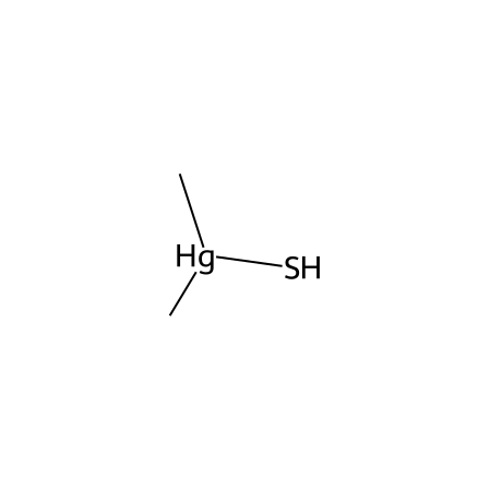 [CH3][Hg]([CH3])[SH]